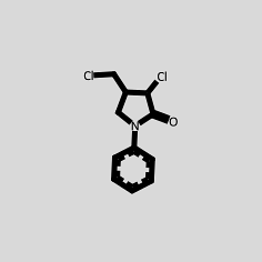 O=C1C(Cl)C(CCl)CN1c1ccccc1